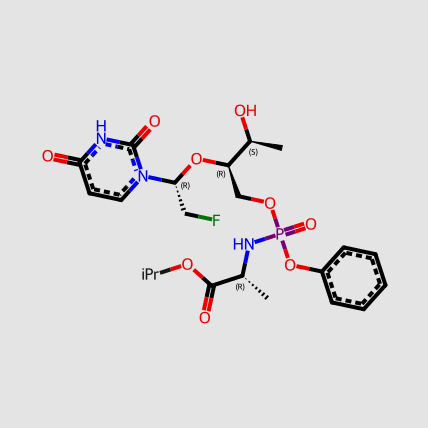 CC(C)OC(=O)[C@@H](C)NP(=O)(OC[C@@H](O[C@H](CF)n1ccc(=O)[nH]c1=O)[C@H](C)O)Oc1ccccc1